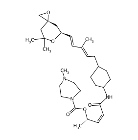 CC(/C=C/[C@@H]1C[C@]2(CO2)CC(C)(C)O1)=C\CC1CCC(NC(=O)/C=C\[C@H](C)OC(=O)N2CCN(C)CC2)CC1